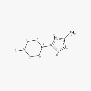 CC1CCN(c2nc(P)cs2)CC1